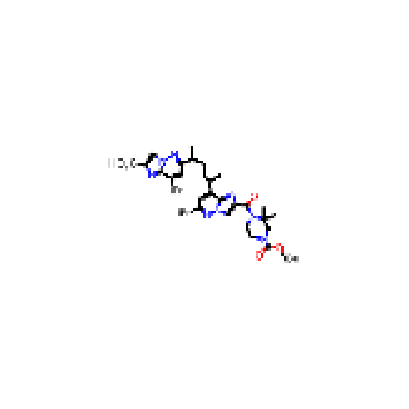 CC(C)c1cc(C(C)CCC(C)c2cc(C(C)C)c3nc(C(=O)O)cn3n2)c2nc(C(=O)N3CCN(C(=O)OC(C)(C)C)CC3(C)C)cn2n1